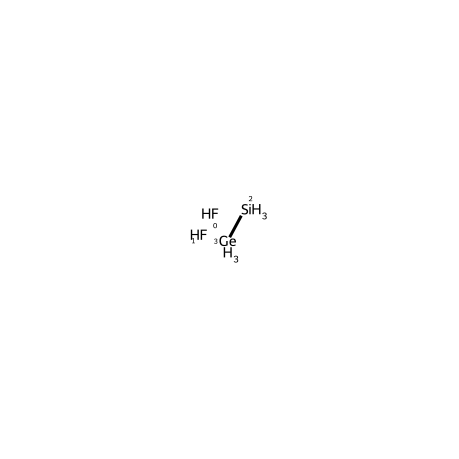 F.F.[SiH3][GeH3]